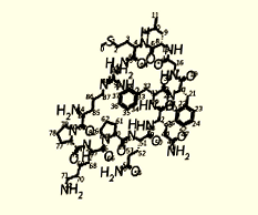 CSCCC(NC(=O)[C@H](CC(C)C)NC(=O)CNC(=O)[C@H](Cc1ccccc1)NC(=O)[C@H](Cc1ccccc1)NC(=O)[C@H](CCC(N)=O)NC(=O)[C@H](CCC(N)=O)NC(=O)[C@@H]1CCCN1C(=O)[C@H](CCCCN)NC(=O)[C@@H]1CCCN1C(=O)[C@@H](N)CCCN=C(N)N)C(N)=O